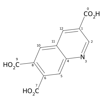 O=C(O)c1cnc2cc(C(=O)O)c(C(=O)O)cc2c1